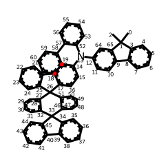 CC1(C)c2ccccc2-c2ccc(N(c3ccc4c(c3)-c3ccccc3C43c4ccccc4C4(c5ccccc5-c5ccccc54)c4ccccc43)c3ccccc3-c3ccccc3)cc21